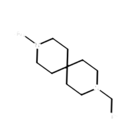 CC(C)CN1CCC2(CC1)CCN(C(C)(C)C)CC2